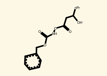 CCCC(O)CC(=O)ONC(=O)OCc1ccccc1